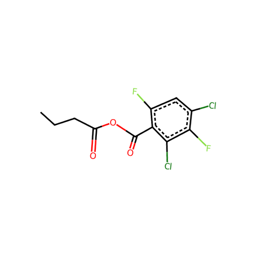 CCCC(=O)OC(=O)c1c(F)cc(Cl)c(F)c1Cl